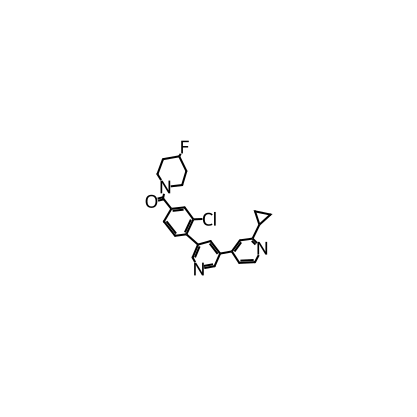 O=C(c1ccc(-c2cncc(-c3ccnc(C4CC4)c3)c2)c(Cl)c1)N1CCC(F)CC1